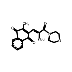 CCCC/C(=C\C1=C(C)C(=O)c2ccccc2C1=O)C(=O)N1CCOCC1